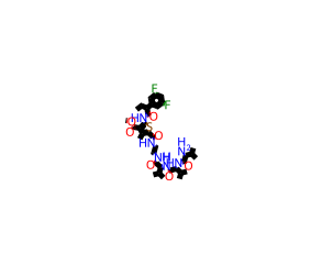 CCC(C(=O)Nc1sc(C(=O)NCCNC(=O)C(NC(=O)C(NC(=O)C(N)C(C)C)C(C)C)C(C)C)c(C)c1C(=O)OC)c1cc(F)cc(F)c1